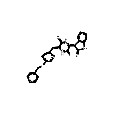 O=C1Nc2ccccc2/C1=c1\[nH]c(=O)c(=Cc2ccc(OCc3ccccc3)cn2)[nH]c1=O